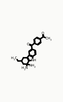 CCC1Cc2c([nH]c3ccc(C(=O)c4ccc(C(C)=O)cc4)cc23)C(N)(N)C1